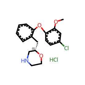 COc1cc(Cl)ccc1Oc1ccccc1C[C@H]1CNCCO1.Cl